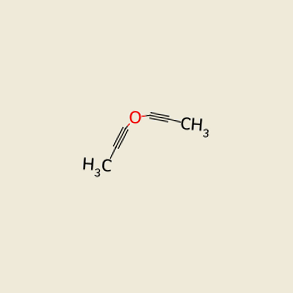 CC#COC#CC